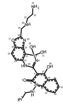 CC(C)CNn1c(=O)c(C2=NS(O)(O)c3c(ccc4oc(CNCCN)nc34)N2)c(O)c2ccccc21